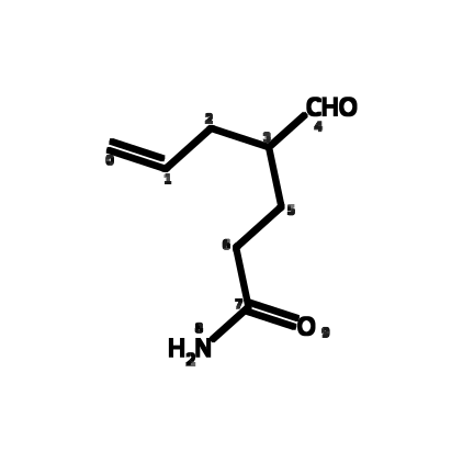 C=CCC(C=O)CCC(N)=O